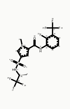 C[C@@H](NS(=O)(=O)c1cc(C(=O)Nc2cccc(C(F)(F)F)c2F)n(C)c1)C(F)(F)F